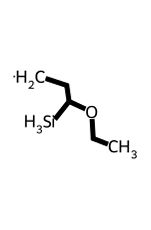 [CH2]CC([SiH3])OCC